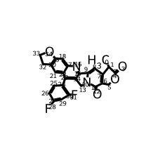 CC1C(=O)OCc2c1cc1n(c2=O)Cc2c-1nc1cc3c(cc1c2-c1ccc(F)cc1F)CCO3